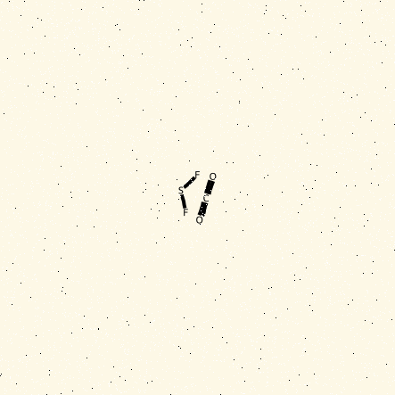 FSF.O=C=O